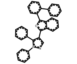 c1ccc(-c2ccccc2-c2oc(-c3cnn(-c4ccccc4)c3-c3ccccc3)c3ccccc23)cc1